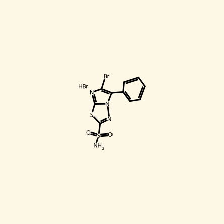 Br.NS(=O)(=O)c1nn2c(-c3ccccc3)c(Br)nc2s1